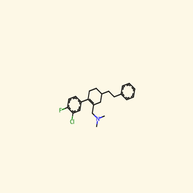 CN(C)CC1=C(c2ccc(F)c(Cl)c2)CCC(CCc2ccccc2)C1